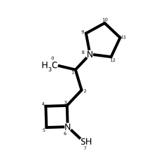 CC(CC1CCN1S)N1CCCC1